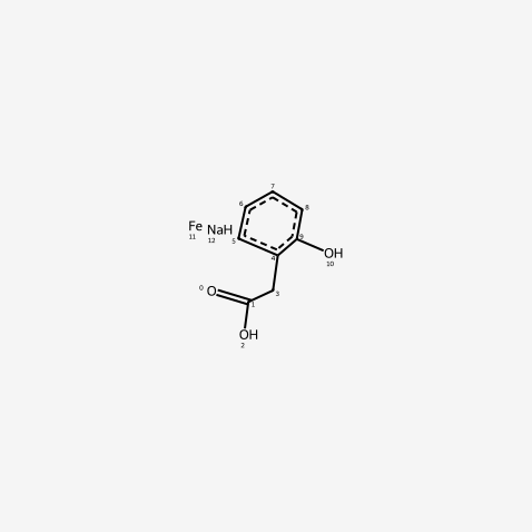 O=C(O)Cc1ccccc1O.[Fe].[NaH]